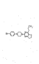 [CH2]CCc1nc(N2CCN(c3ccc(Br)cc3)CC2)nc2c1SCC2